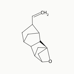 C=CC1CC2CC1C1C2C2C[C@]13CC2O3